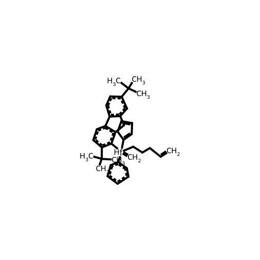 C=CCC[CH2][Hf](=[CH2])([C]1=CC=CC1)([c]1ccccc1)[c]1c(C(C)(C)C)ccc2c1Cc1cc(C(C)(C)C)ccc1-2